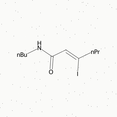 CCCCNC(=O)/C=C(\I)CCC